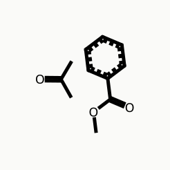 CC(C)=O.COC(=O)c1ccccc1